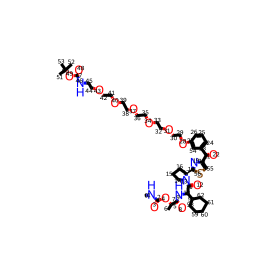 CNC(=O)OC(C)C(=O)NC(C(=O)N1CCC[C@H]1c1nc(C(=O)c2cccc(OCCOCCOCCOCCOCCOCCNC(=O)OC(C)(C)C)c2)cs1)C1CCCCC1